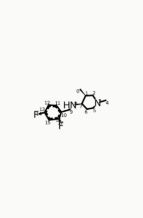 C[C@H]1CN(C)CC[C@H]1NCc1ccc(F)cc1F